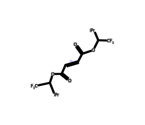 CC(C)C(OC(=O)/C=C/C(=O)OC(C(C)C)C(F)(F)F)C(F)(F)F